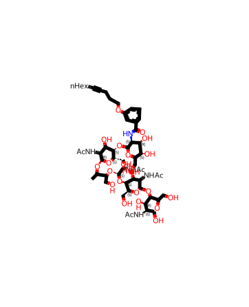 CCCCCCC#CCCCOc1cccc(C(=O)N[C@@H]2C(O[C@H]3C(O)C(NC(C)=O)[C@H](OC(C)C(CO)O[C@@H](O[C@H]4C(O)C(NC(C)=O)C(OC5C(CO)OC(O)[C@@H](NC(C)=O)[C@H]5O)O[C@H]4CO)C(O)NC(C)=O)O[C@H]3CO)OC(CO)[C@@H](O)[C@@H]2O)c1